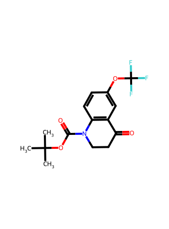 CC(C)(C)OC(=O)N1CCC(=O)c2cc(OC(F)(F)F)ccc21